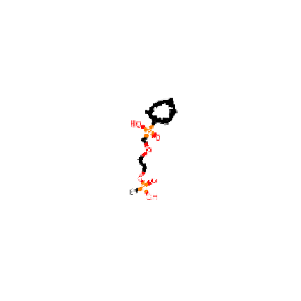 CCP(=O)(O)OCCOCP(=O)(O)c1ccccc1